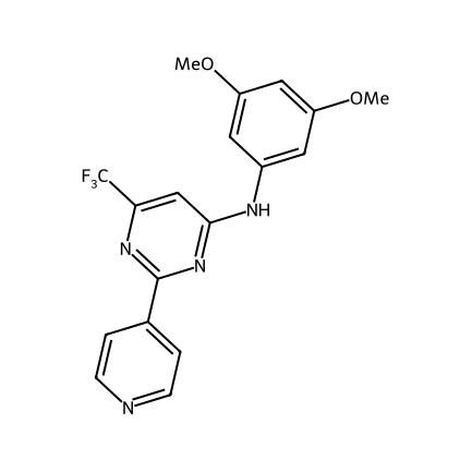 COc1cc(Nc2cc(C(F)(F)F)nc(-c3ccncc3)n2)cc(OC)c1